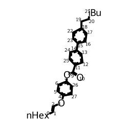 CCCCCCC=COc1ccc(OC(=O)c2ccc(-c3ccc(CCC(C)CC)cc3)cc2)cc1